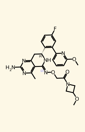 COc1cccc(-c2cc(F)ccc2[C@H]2Cc3nc(N)nc(C)c3/C(=N/OCC(=O)N3CC(OC)C3)N2)n1